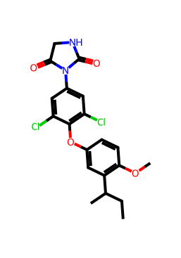 CCC(C)c1cc(Oc2c(Cl)cc(N3C(=O)CNC3=O)cc2Cl)ccc1OC